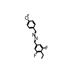 CCc1c(F)cc(/C=N/N=C/c2ccc(OC)cc2)cc1F